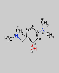 CN(C)Cc1ccc(N(C)C)cc1O